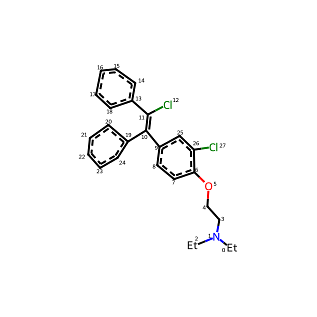 CCN(CC)CCOc1ccc(/C(=C(\Cl)c2ccccc2)c2ccccc2)cc1Cl